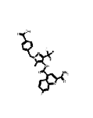 Cc1c(NC(=O)c2cc(C(N)=O)nc3cc(F)ccc23)c(C(F)(F)F)nn1Cc1ccc(C(=O)O)cc1